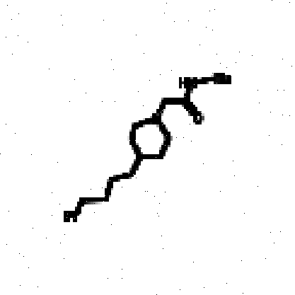 CCC(C)NC(=O)CN1CCC(CCCCC(C)C)CC1